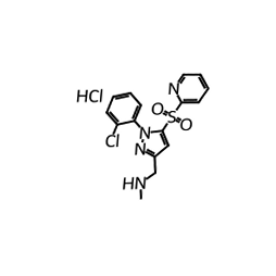 CNCc1cc(S(=O)(=O)c2ccccn2)n(-c2ccccc2Cl)n1.Cl